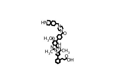 COc1cc2nc(C)nc(N[C@H](C)c3cc(-c4ccccc4CCC(=O)O)cs3)c2cc1C1CCC(C(=O)N2CCN(CC3CCC4(CCNCC4)CC3)CC2)CC1